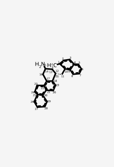 Cc1ccc2ccccc2c1C[C@H]1CC(N)Cc2c1ccc1c2ccc2ccccc21